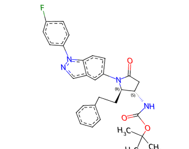 CC(C)(C)OC(=O)N[C@H]1CC(=O)N(c2ccc3c(cnn3-c3ccc(F)cc3)c2)[C@@H]1CCc1ccccc1